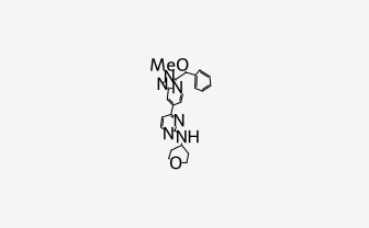 CO[C@@H](c1ccccc1)c1nnc2cc(-c3ccnc(NC4CCOCC4)n3)ccn12